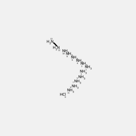 Cl.N.N.N.N.N.N.N.N.N.N.N.NN